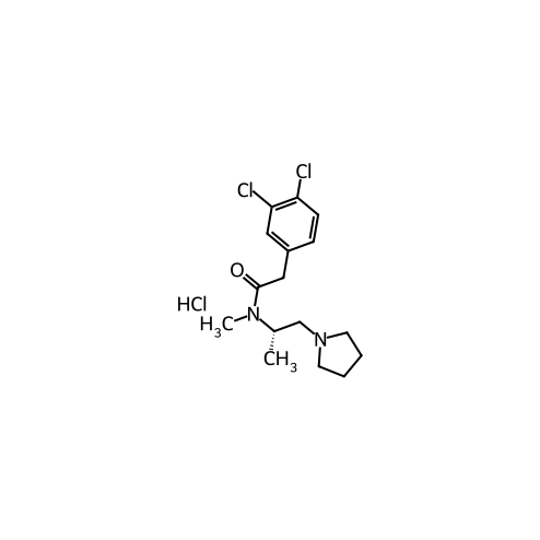 C[C@@H](CN1CCCC1)N(C)C(=O)Cc1ccc(Cl)c(Cl)c1.Cl